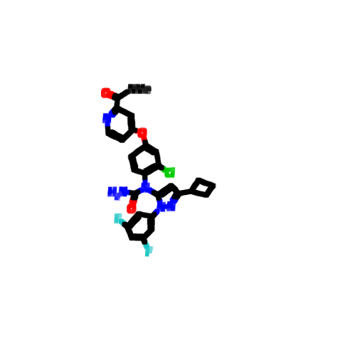 CNC(=O)c1cc(Oc2ccc(N(C(N)=O)c3cc(C4CCC4)nn3-c3cc(F)cc(F)c3)c(Cl)c2)ccn1